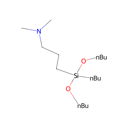 CCCCO[Si](CCCC)(CCCN(C)C)OCCCC